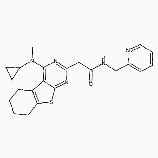 CN(c1nc(CC(=O)NCc2ccccn2)nc2sc3c(c12)CCCC3)C1CC1